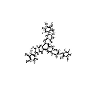 Fc1nc2nc3c4nc5nc(-c6c(F)c(F)c(F)c(F)c6F)c(F)nc5nc4c4nc5nc(-c6c(F)c(F)c(F)c(F)c6F)c(F)nc5nc4c3nc2nc1-c1c(F)c(F)c(F)c(F)c1F